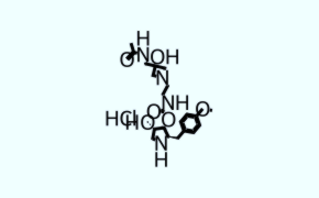 COc1ccc(C[C@H]2NC[C@H](O)[C@H]2OC(=O)NCCN2CC(O)(CNC(C)=O)C2)cc1.Cl